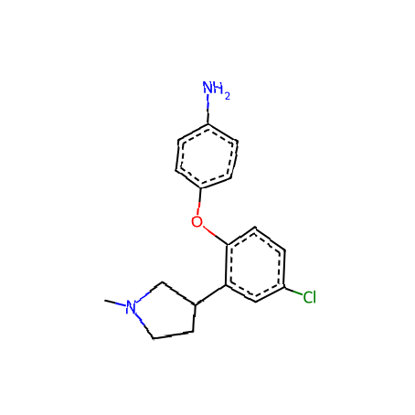 CN1CCC(c2cc(Cl)ccc2Oc2ccc(N)cc2)C1